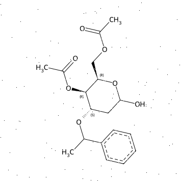 CC(=O)OC[C@H]1OC(O)C[C@H](OC(C)c2ccccc2)[C@H]1OC(C)=O